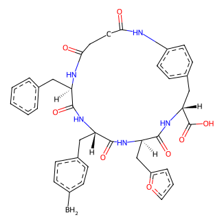 Bc1ccc(C[C@@H]2NC(=O)[C@@H](Cc3ccccc3)NC(=O)CCC(=O)Nc3ccc(cc3)C[C@H](C(=O)O)NC(=O)[C@@H](Cc3ccco3)NC2=O)cc1